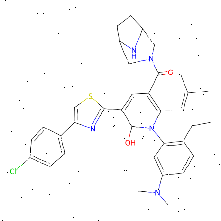 CCc1ccc(N(C)C)cc1N1C(C=C(C)C)=C(C(=O)N2CC3CCC(C2)N3)C=C(c2nc(-c3ccc(Cl)cc3)cs2)C1O